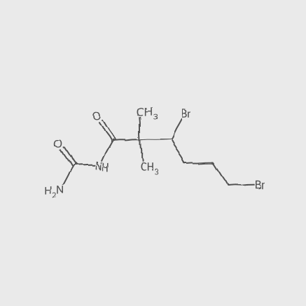 CC(C)(C(=O)NC(N)=O)C(Br)CCCBr